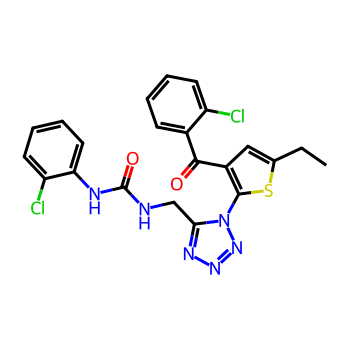 CCc1cc(C(=O)c2ccccc2Cl)c(-n2nnnc2CNC(=O)Nc2ccccc2Cl)s1